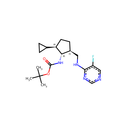 CC(C)(C)OC(=O)N[C@H]1[C@H](CNc2ncncc2F)CC[C@@H]1C1CC1